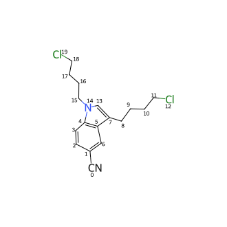 N#Cc1ccc2c(c1)c(CCCCCl)cn2CCCCCl